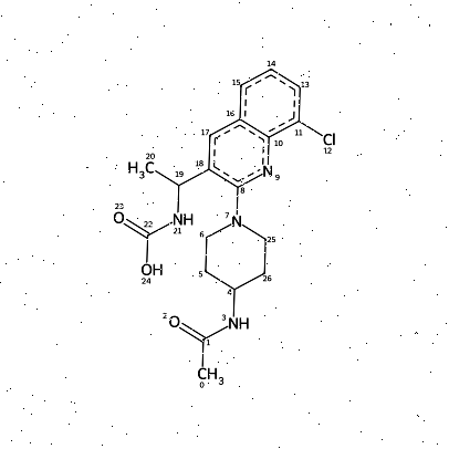 CC(=O)NC1CCN(c2nc3c(Cl)cccc3cc2C(C)NC(=O)O)CC1